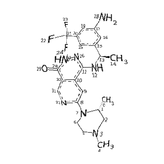 C[C@@H]1CN(C)CCN1c1cc2c(N[C@H](C)c3cc(N)cc(C(F)(F)F)c3)n[nH]c(=O)c2cn1